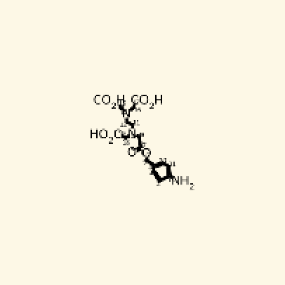 Nc1ccc(COC(=O)CN(CCN(CC(=O)O)CC(=O)O)CC(=O)O)cc1